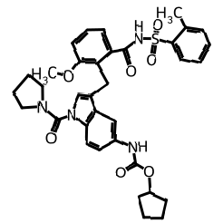 COc1cccc(C(=O)NS(=O)(=O)c2ccccc2C)c1Cc1cn(C(=O)N2CCCC2)c2ccc(NC(=O)OC3CCCC3)cc12